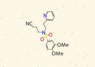 COc1ccc(S(=O)(=O)N(CCCC#N)CCc2ccccn2)cc1OC